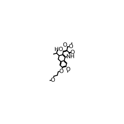 COCCCOc1cc2c(cc1OC)-c1[nH]c(=O)c(C(=O)OC)c(O)c1C(C(C)C)C2